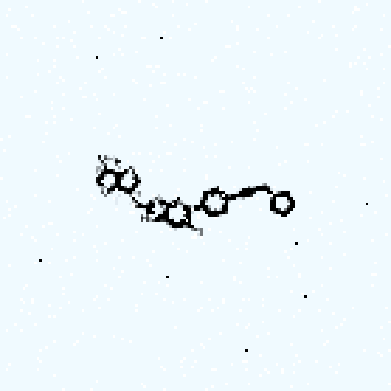 O[C@@H]1CO[C@H]2[C@@H]1OC[C@H]2Oc1nc2nc(-c3ccc(C#CCC4CCCC4)cc3)c(Cl)cc2[nH]1